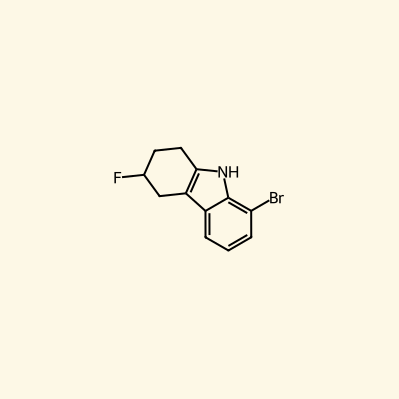 FC1CCc2[nH]c3c(Br)cccc3c2C1